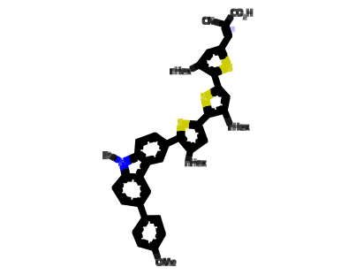 [C-]#[N+]/C(=C\c1cc(CCCCCC)c(-c2cc(CCCCCC)c(-c3cc(CCCCCC)c(-c4ccc5c(c4)c4cc(-c6ccc(OC)cc6)ccc4n5CC)s3)s2)s1)C(=O)O